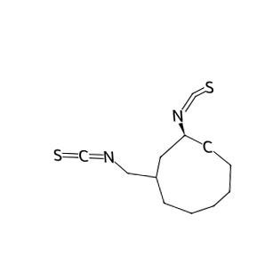 S=C=NCC1CCCCCC[C@H](N=C=S)C1